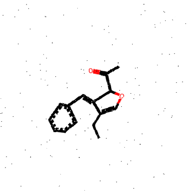 CCC1=COC(C(C)=O)C1=Cc1ccccc1